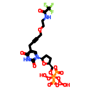 O=C(NCCOCC#CCc1cn([C@H]2CC[C@@H](COP(OO)(OOO)(P(=O)=O)P(=O)=O)O2)c(=O)[nH]c1=O)C(F)(F)F